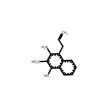 C=CCc1c(N)c(S(=O)(=O)O)c(O)c2ccccc12